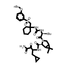 CCCCOc1cccc(S(=O)(=O)CC2(NC(=O)N[C@H](C(=O)N3CC4C([C@H]3C(=O)NC(CC3CC3)C(=O)C(N)=O)C4(C)C)C(C)(C)C)CCCCC2)c1